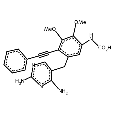 COc1c(NC(=O)O)cc(Cc2cnc(N)nc2N)c(C#Cc2ccccc2)c1OC